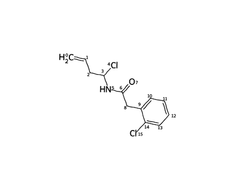 C=CCC(Cl)NC(=O)Cc1ccccc1Cl